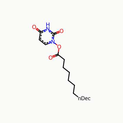 CCCCCCCCCCCCCCCCC(=O)On1ccc(=O)[nH]c1=O